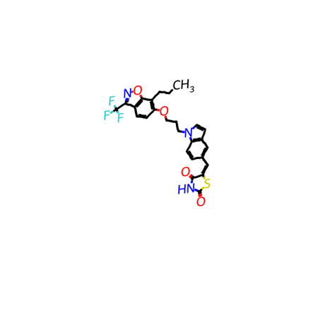 CCCc1c(OCCCn2ccc3cc(/C=C4/SC(=O)NC4=O)ccc32)ccc2c(C(F)(F)F)noc12